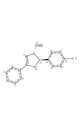 O=C[C@H]1N=C(c2ccccc2)O[C@@H]1c1ccc(I)cc1